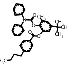 CCCCc1ccc(C(=O)Oc2cc(C(C)(C)C)cc(C)c2OC(=O)N(c2ccccc2)c2ccccc2)cc1